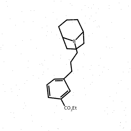 CCOC(=O)c1cccc(CCCB2C3CCCC2CCC3)c1